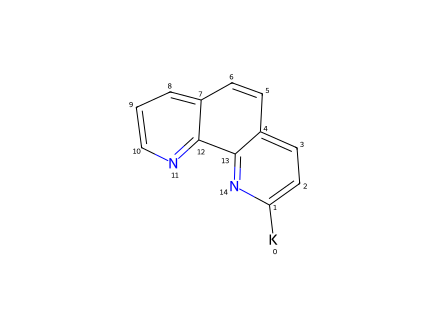 [K][c]1ccc2ccc3cccnc3c2n1